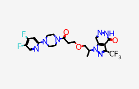 CC(COCCC(=O)N1CCN(c2cc(F)c(F)cn2)CC1)n1nc(C(F)(F)F)c2c(=O)[nH]ncc21